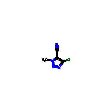 Cn1nnc(Cl)c1C#N